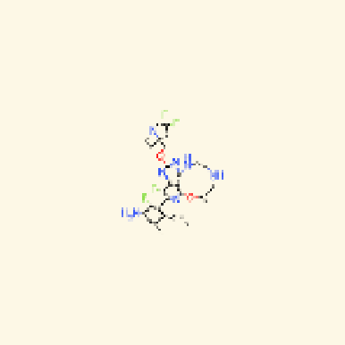 Cc1cc(N)c(F)c(-c2nc3c4c(nc(OCC56CCN5CC(F)(F)C6)nc4c2F)NCCNCC[C@H](C)O3)c1C(F)(F)F